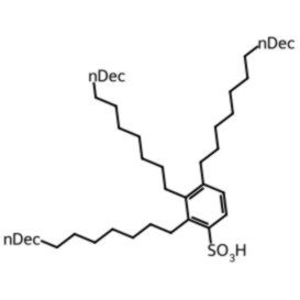 CCCCCCCCCCCCCCCCCc1ccc(S(=O)(=O)O)c(CCCCCCCCCCCCCCCCC)c1CCCCCCCCCCCCCCCCC